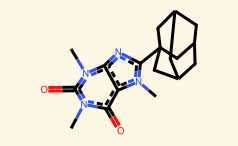 Cn1c(=O)c2c(nc(C34CC5CC(CC(C5)C3)C4)n2C)n(C)c1=O